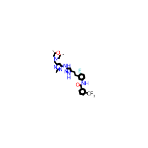 Cc1nc(CN2C[C@@H](C)O[C@@H](C)C2)cc(Nc2cc(CCc3cc(NC(=O)c4cccc(C(F)(F)F)c4)ccc3F)[nH]n2)n1